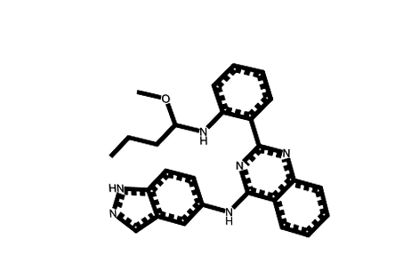 CCCC(Nc1ccccc1-c1nc(Nc2ccc3[nH]ncc3c2)c2ccccc2n1)OC